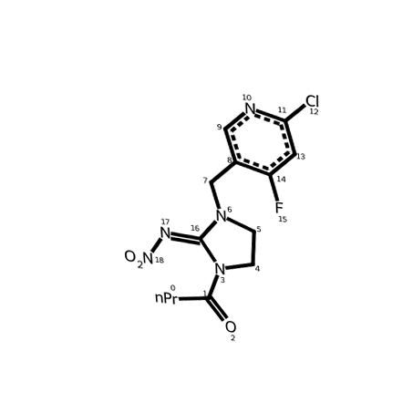 CCCC(=O)N1CCN(Cc2cnc(Cl)cc2F)C1=N[N+](=O)[O-]